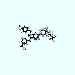 COc1ccc(Cn2nc(SC3CCCN(C(C)=O)C3)c3ncc(N4CCC(C)(NC(=O)OC(C)(C)C)CC4)nc32)cc1